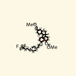 COCOc1ccc(C2(C)CSc3cc(OCOC)ccc3C2c2ccc(OCCN3CCN(CCCC(F)(F)C(F)(F)F)CC3)cc2)cc1